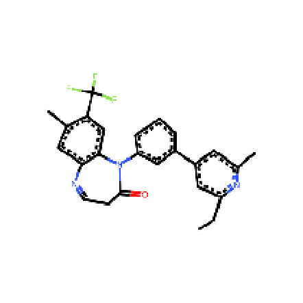 CCc1cc(-c2cccc(N3C(=O)CC=Nc4cc(C)c(C(F)(F)F)cc43)c2)cc(C)n1